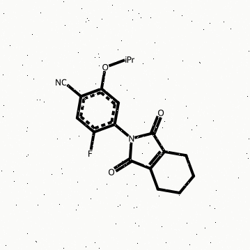 CC(C)Oc1cc(N2C(=O)C3=C(CCCC3)C2=O)c(F)cc1C#N